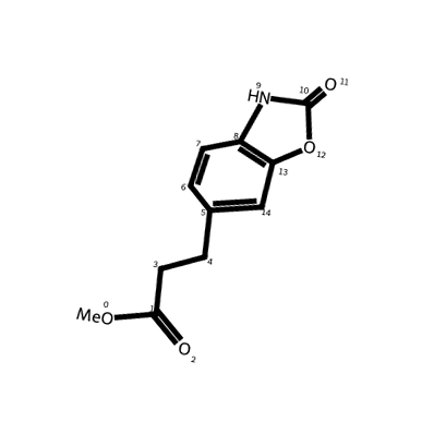 COC(=O)CCc1ccc2[nH]c(=O)oc2c1